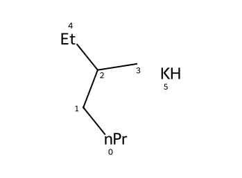 CCCCC(C)CC.[KH]